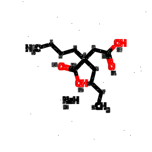 CCCCC(CCCC)(CC(=O)O)C(=O)O.[NaH]